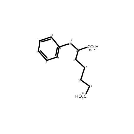 O=C(O)CCCCC(Sc1ccccc1)C(=O)O